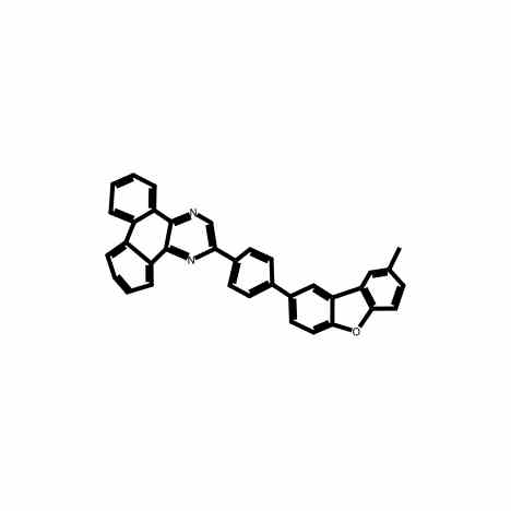 Cc1ccc2oc3ccc(-c4ccc(-c5cnc6c7ccccc7c7ccccc7c6n5)cc4)cc3c2c1